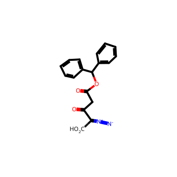 [N-]=[N+]=C(C(=O)O)C(=O)CC(=O)OC(c1ccccc1)c1ccccc1